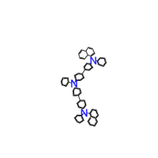 C1=CC2C=CC=C(N(c3ccccc3)c3ccc(-c4ccc(N(c5ccccc5)c5ccc(-c6ccc(N(c7ccccc7)c7cccc8ccccc78)cc6)cc5)cc4)cc3)C2C=C1